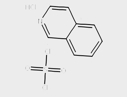 Cl.O=S(=O)(Cl)Cl.c1ccc2cnccc2c1